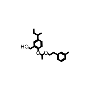 CCC(C)c1ccc(OC(C)OCCc2cccc(C)c2)c(CO)c1